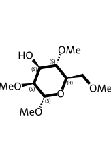 COC[C@H]1O[C@H](OC)[C@@H](OC)[C@@H](O)[C@@H]1OC